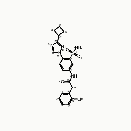 NS(=O)(=O)c1cc(NC(=O)Cc2ccccc2Cl)ccc1-n1cnc(C2CCC2)n1